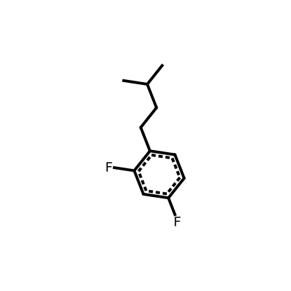 CC(C)CCc1ccc(F)cc1F